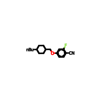 CCCCC1CCC(COc2ccc(C#N)c(F)c2)CC1